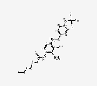 CCCCCCC(=O)Nc1ccc(NCc2ccc(OC(F)(F)F)cc2)c(F)c1N